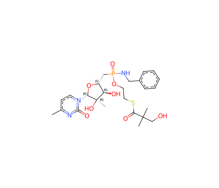 Cc1ccn([C@@H]2O[C@H](CP(=O)(NCc3ccccc3)OCCSC(=O)C(C)(C)CO)[C@@H](O)[C@@]2(C)O)c(=O)n1